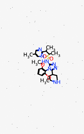 COc1cccc(OC)c1-n1c(NS(=O)(=O)C(C)C(C)c2ncc(C)cn2)nnc1C1CCNCC1